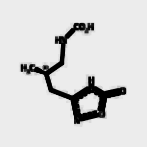 C[C@@H](CNC(=O)O)Cc1noc(=O)[nH]1